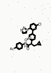 CC(=O)c1ccc(NC(=O)C(CC2CC2)c2ccc(-c3cc(Cl)ccc3-n3ccnn3)c[n+]2[O-])cc1